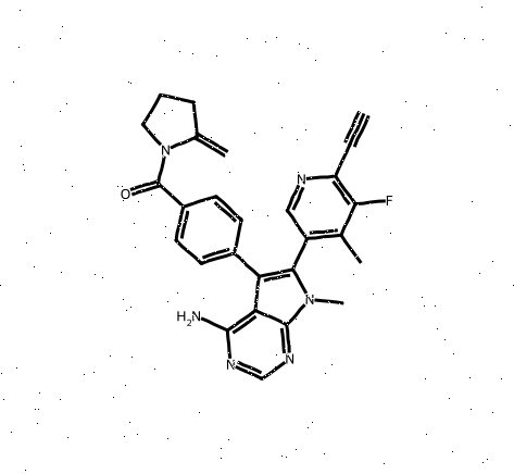 C#Cc1ncc(-c2c(-c3ccc(C(=O)N4CCCC4=C)cc3)c3c(N)ncnc3n2C)c(C)c1F